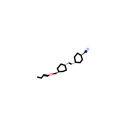 CCC=COC[C@H]1CC[C@H](CC[C@H]2CC[C@H](C#N)CC2)CC1